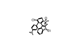 CCn1c(C)c(-c2c(S(C)(=O)=O)ccc(Cl)c2-c2ccc(N(C)C)cc2)c2ccccc21